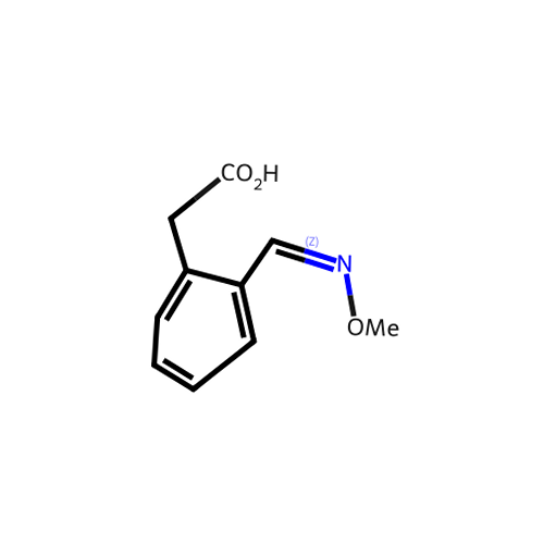 CO/N=C\c1ccccc1CC(=O)O